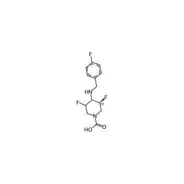 O=C(O)N1CC(F)C(NCc2ccc(F)cc2)[C@@H](F)C1